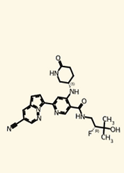 CC(C)(O)[C@H](F)CNC(=O)c1cnc(-c2ccc3cc(C#N)cnn23)cc1N[C@H]1CCC(=O)NC1